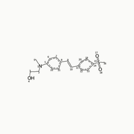 CN(CCO)c1ccc(C=Cc2ccc(S(C)(=O)=O)cc2)cc1